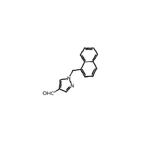 O=Cc1cnn(Cc2cccc3ccccc23)c1